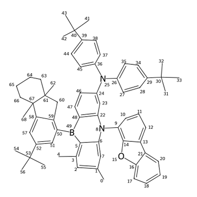 Cc1cc(C)c2c(c1)N(c1cccc3c1oc1ccccc13)c1cc(N(c3ccc(C(C)(C)C)cc3)c3ccc(C(C)(C)C)cc3)ccc1B2c1cc(C(C)(C)C)cc2c1CC1(C)CCCCC21C